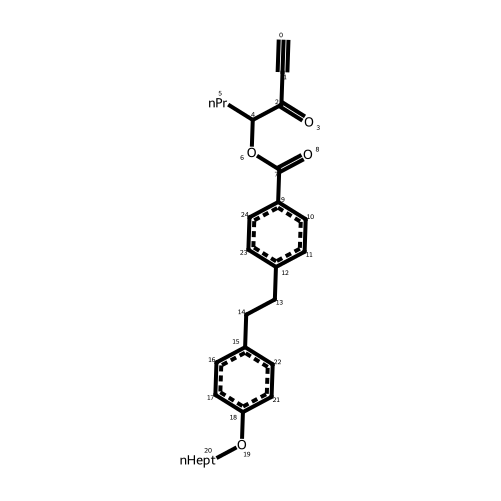 C#CC(=O)C(CCC)OC(=O)c1ccc(CCc2ccc(OCCCCCCC)cc2)cc1